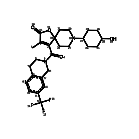 CC1=C(C(=O)N2CCc3ncc(C(F)(F)F)cc3C2)C2(CCN(C3CCC(O)CC3)CC2)OC1=O